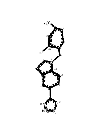 Cc1ccc(Cn2ccc3cc(-c4nn[nH]n4)ccc32)c(I)c1